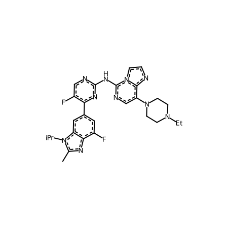 CCN1CCN(c2cnc(Nc3ncc(F)c(-c4cc(F)c5nc(C)n(C(C)C)c5c4)n3)n3ccnc23)CC1